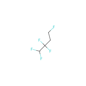 FCCC(F)(F)[C](F)F